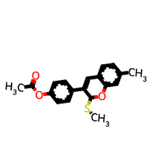 CSC1Oc2cc(C)ccc2C=C1c1ccc(OC(C)=O)cc1